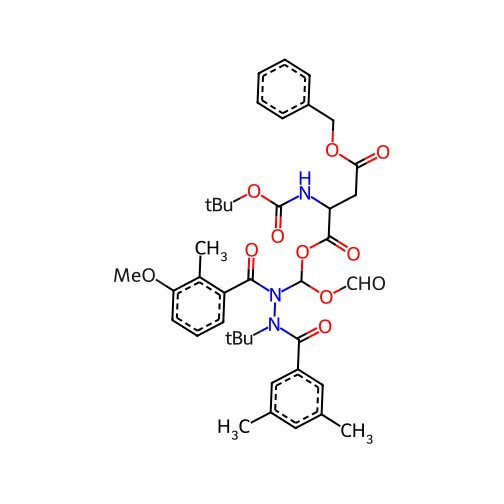 COc1cccc(C(=O)N(C(OC=O)OC(=O)C(CC(=O)OCc2ccccc2)NC(=O)OC(C)(C)C)N(C(=O)c2cc(C)cc(C)c2)C(C)(C)C)c1C